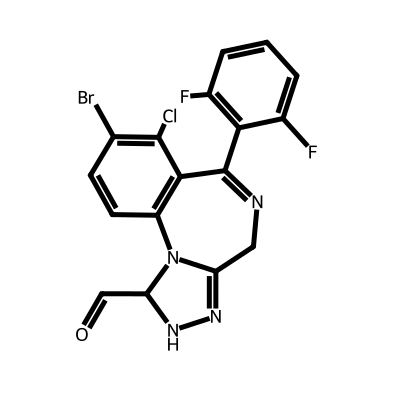 O=CC1NN=C2CN=C(c3c(F)cccc3F)c3c(ccc(Br)c3Cl)N21